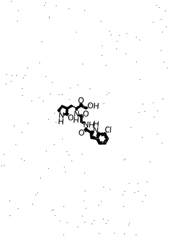 O=C(CNC(=O)c1cc2cccc(Cl)c2[nH]1)N[C@@H](CC1CCNC1=O)C(=O)CO